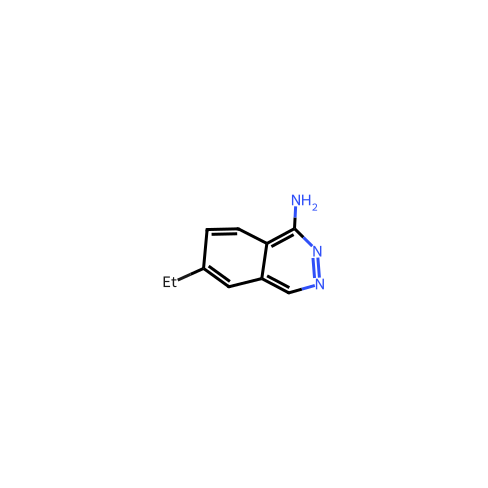 CCc1ccc2c(N)nncc2c1